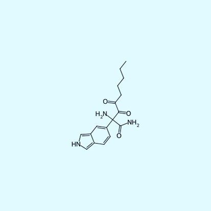 CCCCCC(=O)C(=O)C(N)(C(N)=O)c1ccc2c[nH]cc2c1